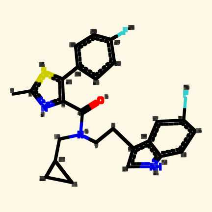 Cc1nc(C(=O)N(CCc2c[nH]c3ccc(F)cc23)CC2CC2)c(-c2ccc(F)cc2)s1